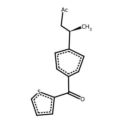 CC(=O)C[C@@H](C)c1ccc(C(=O)c2cccs2)cc1